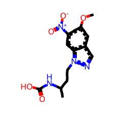 COc1cc2cnn(CCC(C)NC(=O)O)c2cc1[N+](=O)[O-]